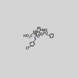 CC(C)[C@H](NC(=O)OCc1ccccc1)C(=O)NN(CC(=O)O)C(=O)/C=C/c1ccc(Cl)cc1